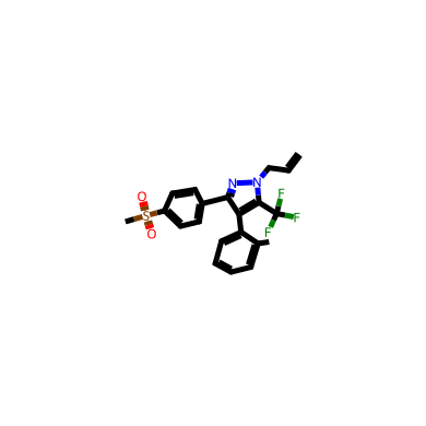 C=CCn1nc(-c2ccc(S(C)(=O)=O)cc2)c(-c2ccccc2C)c1C(F)(F)F